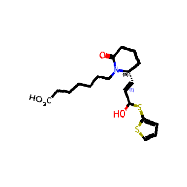 O=C(O)CCCCCCN1C(=O)CCC[C@@H]1/C=C/C(O)Sc1cccs1